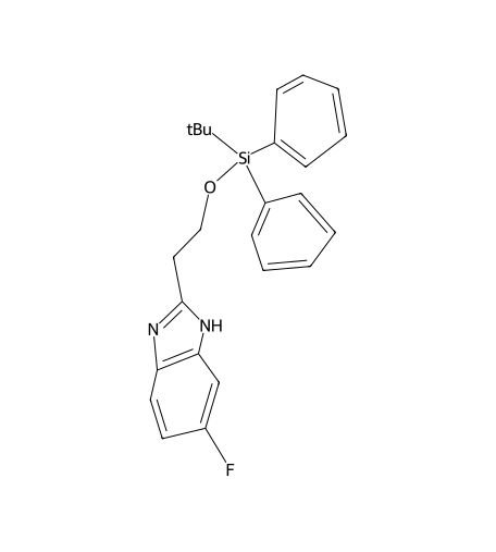 CC(C)(C)[Si](OCCc1nc2ccc(F)cc2[nH]1)(c1ccccc1)c1ccccc1